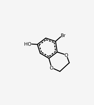 Oc1cc(Br)c2c(c1)OCCO2